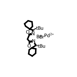 CC(C)(C)[C@H]1N=C(CC2=N[C@H](C(C)(C)C)C3(CCCCC3)O2)OC12CCCCC2.[Br-].[Br-].[Pd+2]